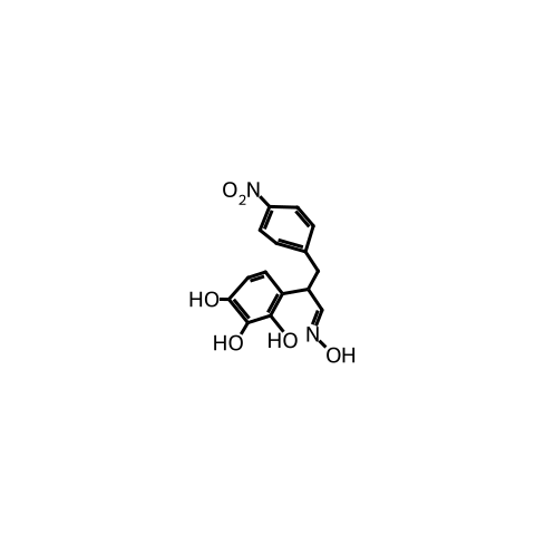 O=[N+]([O-])c1ccc(CC(C=NO)c2ccc(O)c(O)c2O)cc1